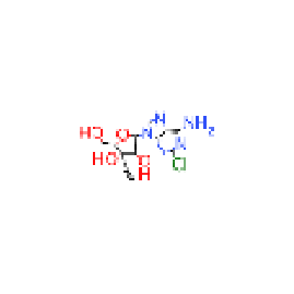 C#CC1(O)C(O)C(n2cnc3c(N)nc(Cl)nc32)O[C@@H]1CO